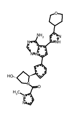 Cn1nccc1C(=O)N1C[C@H](O)C[C@H]1c1cccc(-c2cc(-c3cc(C4CCOCC4)n[nH]3)c3c(N)ncnn23)c1